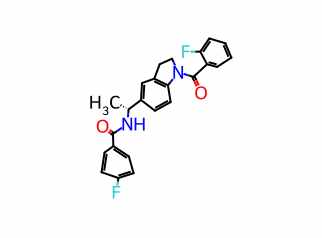 C[C@@H](NC(=O)c1ccc(F)cc1)c1ccc2c(c1)CCN2C(=O)c1ccccc1F